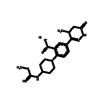 CSC(=N)NC1CCN(c2ccc(C3=NNC(=O)CC3C)cc2[N+](=O)[O-])CC1.I